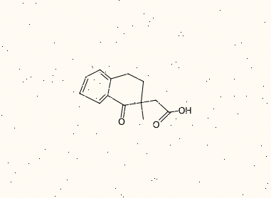 CC1(CC(=O)O)CCc2ccccc2C1=O